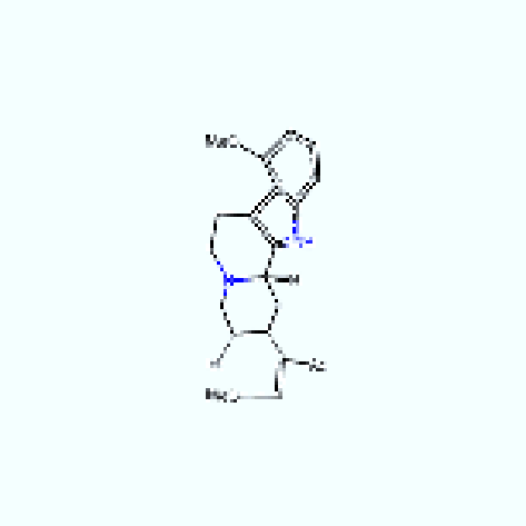 CC[C@@H]1CN2CCc3c([nH]c4cccc(OC)c34)[C@@H]2C[C@@H]1/C(=C\OC)C(C)=O